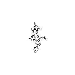 CCCC(NC(=O)C(CC(=O)N1CCOCC1)OC(N)=O)B1O[C@@H]2C[C@@H]3C[C@@H](C3(C)C)[C@]2(C)O1